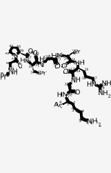 CC(=O)[C@H](CCCCN)NC(=O)CNC(=O)[C@H](CCCNC(=N)N)NC(=O)[C@@H](NC(=O)CNC(=O)[C@H](CC(C)C)NC(=O)[C@@H]1CCCN1C(=O)CNC(C)C)C(C)C